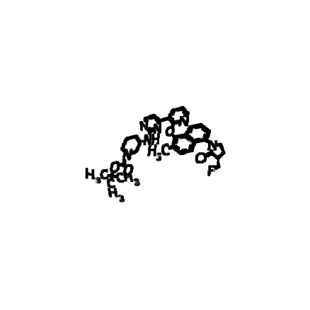 Cc1ccc2c(N3CC[C@@H](CF)C3=O)cccc2c1Oc1ncccc1-c1ccnc(N[C@H]2CCCN(C(=O)OC(C)(C)C)C2)n1